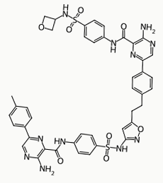 Cc1ccc(-c2cnc(N)c(C(=O)Nc3ccc(S(=O)(=O)Nc4cc(CCc5ccc(-c6cnc(N)c(C(=O)Nc7ccc(S(=O)(=O)NC8COC8)cc7)n6)cc5)on4)cc3)n2)cc1